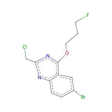 FCCCOc1nc(CCl)nc2ccc(Br)cc12